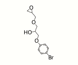 OC(COCC1CO1)COc1ccc(Br)cc1